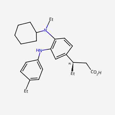 CCc1ccc(Nc2cc([C@H](CC)CC(=O)O)ccc2N(CC)C2CCCCC2)cc1